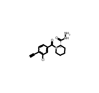 [C]#Cc1ccc(C(=O)N2CCCC[C@H]2C(=O)NN)cc1Cl